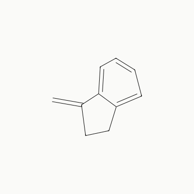 C=C1CCc2ccccc21